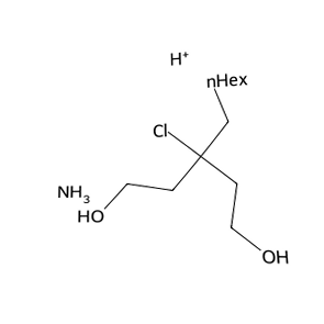 CCCCCCCC(Cl)(CCO)CCO.N.[H+]